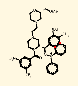 COC[C@@H]1CN(CCN2CCN(C(=O)c3cc([N+](=O)[O-])cc(C(F)(F)F)c3)[C@@H](C(O[SiH](c3ccccc3)c3ccccc3)c3ccc(C)c(C(C)(C)C)c3)C2)CCO1